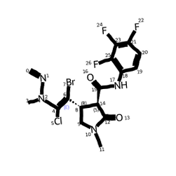 C=NN(C)/C(Cl)=C(\Br)[C@H]1CN(C)C(=O)[C@@H]1C(=O)Nc1ccc(F)c(F)c1F